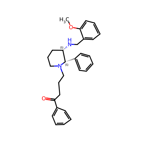 COc1ccccc1CN[C@H]1CCCN(CCCC(=O)c2ccccc2)[C@H]1c1ccccc1